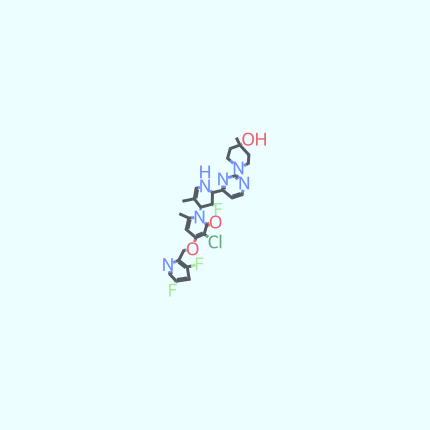 CC1=CNC(c2ccnc(N3CCC(C)(O)CC3)n2)C(F)[C@H]1n1c(C)cc(OCc2ncc(F)cc2F)c(Cl)c1=O